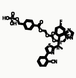 C[C@@H](c1nc(-c2ccccc2C#N)cs1)[C@@](Cn1cncn1)(OC(=O)OCOC(=O)c1ccc(COP(=O)(O)O)cc1)c1ccc(F)cc1F